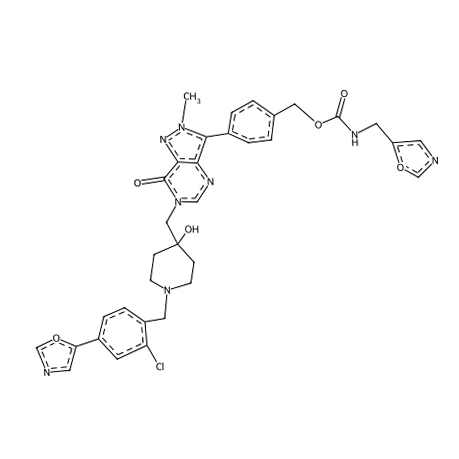 Cn1nc2c(=O)n(CC3(O)CCN(Cc4ccc(-c5cnco5)cc4Cl)CC3)cnc2c1-c1ccc(COC(=O)NCc2cnco2)cc1